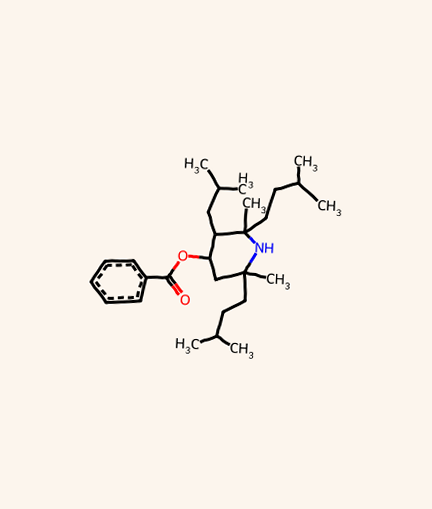 CC(C)CCC1(C)CC(OC(=O)c2ccccc2)C(CC(C)C)C(C)(CCC(C)C)N1